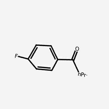 CC[CH]C(=O)c1ccc(F)cc1